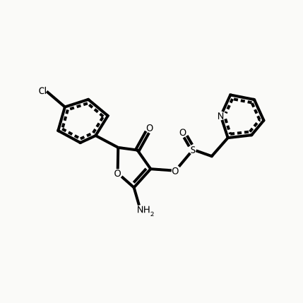 NC1=C(OS(=O)Cc2ccccn2)C(=O)C(c2ccc(Cl)cc2)O1